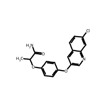 CC(Oc1ccc(Oc2cnc3cc(Cl)ccc3c2)cc1)C(N)=O